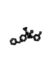 O=C(Nc1cccc(F)c1)N(C1CC1)C1CCN(Cc2ccccc2)CC1